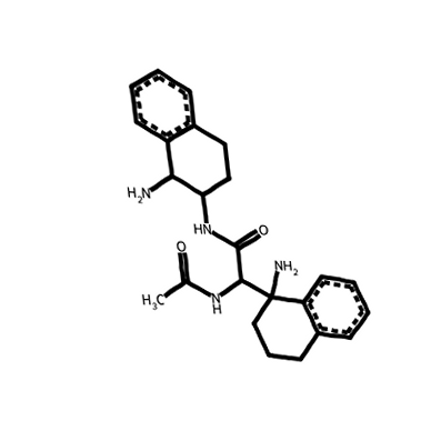 CC(=O)NC(C(=O)NC1CCc2ccccc2C1N)C1(N)CCCc2ccccc21